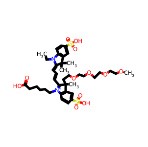 CCN1/C(=C/C=C/C2=[N+](CCCCCC(=O)O)c3ccc(S(=O)(=O)O)cc3C2(C)CCOCCOCCOCCOC)C(C)(C)c2cc(S(=O)(=O)O)ccc21